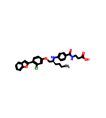 CCCC[C@@H](COc1ccc(-c2cc3ccccc3o2)c(Cl)c1)Nc1ccc(C(=O)NCCC(=O)O)cc1